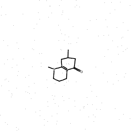 CC1CC(=O)C2=C(C1)N(C)CCC2